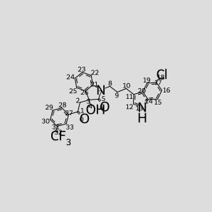 O=C(CC1(O)C(=O)N(CCCc2c[nH]c3ccc(Cl)cc23)c2ccccc21)c1cccc(C(F)(F)F)c1